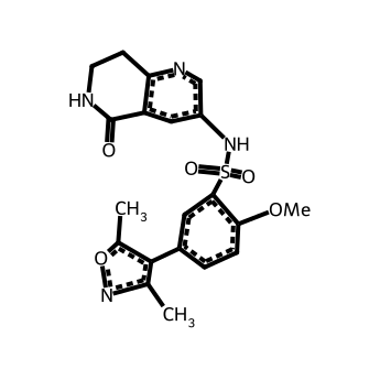 COc1ccc(-c2c(C)noc2C)cc1S(=O)(=O)Nc1cnc2c(c1)C(=O)NCC2